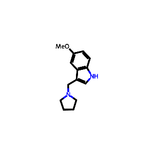 COc1ccc2[nH]cc(CN3CCCC3)c2c1